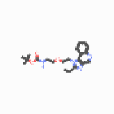 CCc1nc2cnc3ccccc3c2n1CCOCCNC(=O)OC(C)(C)C